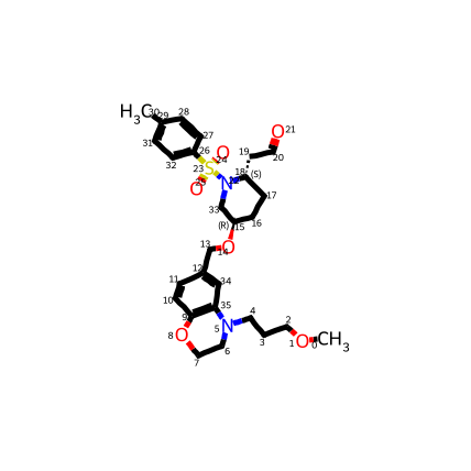 COCCCN1CCOc2ccc(CO[C@@H]3CC[C@@H](CC=O)N(S(=O)(=O)c4ccc(C)cc4)C3)cc21